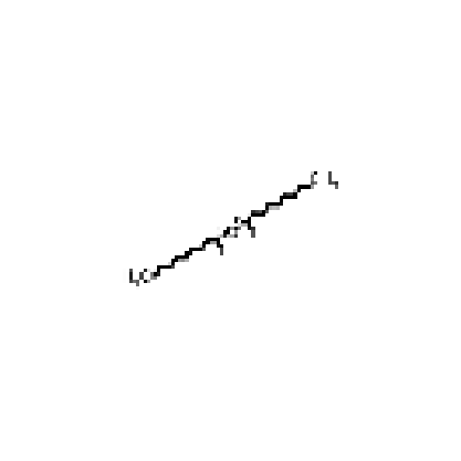 CCCCCCCCCC(I)SOSC(I)CCCCCCCCC